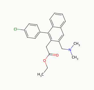 CCOC(=O)Cc1c(CN(C)C)cc2ccccc2c1-c1ccc(Cl)cc1